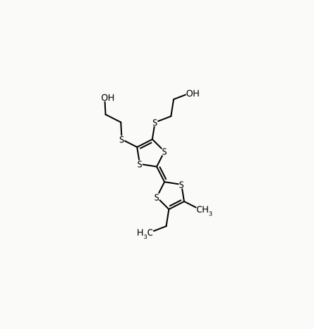 CCC1=C(C)SC(=C2SC(SCCO)=C(SCCO)S2)S1